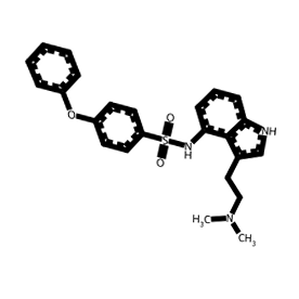 CN(C)CCc1c[nH]c2cccc(NS(=O)(=O)c3ccc(Oc4ccccc4)cc3)c12